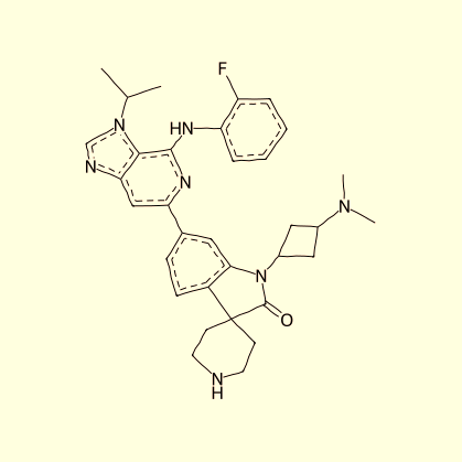 CC(C)n1cnc2cc(-c3ccc4c(c3)N(C3CC(N(C)C)C3)C(=O)C43CCNCC3)nc(Nc3ccccc3F)c21